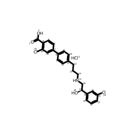 Cl.O=C(O)c1ccc(-c2ccc(CCCNC[C@H](O)c3cccc(Cl)c3)cc2)cc1Cl